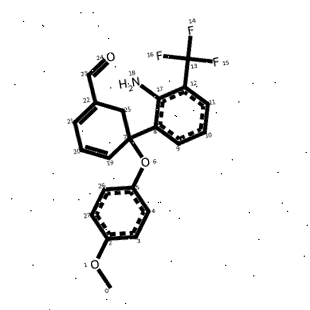 COc1ccc(OC2(c3cccc(C(F)(F)F)c3N)C=CC=C(C=O)C2)cc1